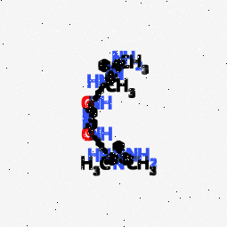 Cc1cc2nc3cc(C)c(NCCCCCCNC(=O)c4ccc(-c5ccc(C(=O)NCCCCCCNc6cc7c(cc6C)nc6cc(C)c(N)cc6[n+]7-c6ccccc6)cn5)nc4)cc3[n+](-c3ccccc3)c2cc1N